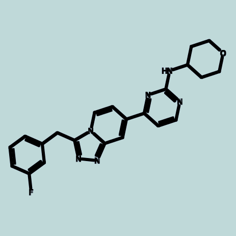 Fc1cccc(Cc2nnc3cc(-c4ccnc(NC5CCOCC5)n4)ccn23)c1